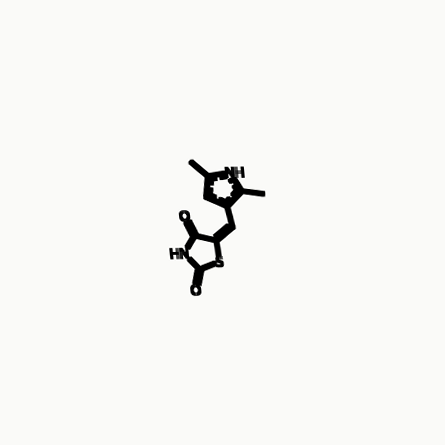 Cc1cc(C=C2SC(=O)NC2=O)c(C)[nH]1